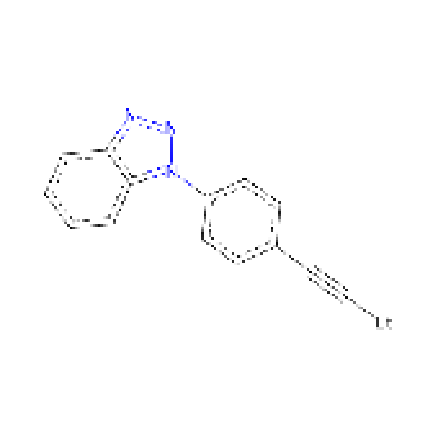 CCC#Cc1ccc(-n2nnc3ccccc32)cc1